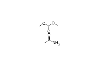 CC(N)=O.COC(=O)OC